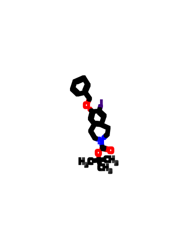 CC(C)(C)OC(=O)N1CCc2cc(I)c(OCc3ccccc3)cc2CC1